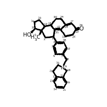 CC12CC(c3ccc(CN4CCc5ccccc5C4)cc3)C3=C4CCC(=O)C=C4CCC3C1CCC2O